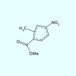 [CH2]c1cc([N+](=O)[O-])ccc1C(=O)OC